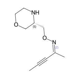 CC#C/C(C)=N\OC[C@@H]1COCCN1